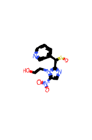 O=S=C(c1cccnc1)c1ncc([N+](=O)[O-])n1CCO